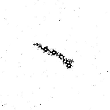 CC1(NCc2ccc(C(=O)Nc3ccc(/C=C/C(=O)NO)cc3)cc2)CCN(c2cnc(-c3cccc(Cl)c3Cl)c(N)n2)CC1